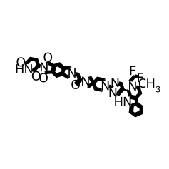 C[C@@H]1Cc2c([nH]c3ccccc23)[C@@H](c2cnc(N3CCC4(CC3)CN(C(=O)CN3Cc5cc6c(cc5C3)C(=O)N(C3CCC(=O)NC3=O)C6=O)C4)nc2)N1CC(F)F